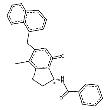 Cc1c(Cc2cccc3ccccc23)cc(=O)n2c1SC[C@H]2NC(=O)c1ccccc1